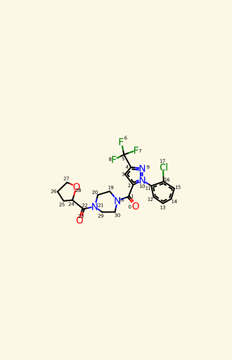 O=C(c1cc(C(F)(F)F)nn1-c1ccccc1Cl)N1CCN(C(=O)C2CCCO2)CC1